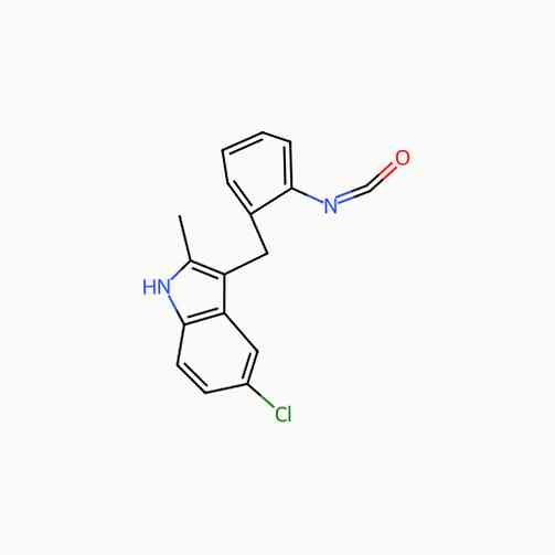 Cc1[nH]c2ccc(Cl)cc2c1Cc1ccccc1N=C=O